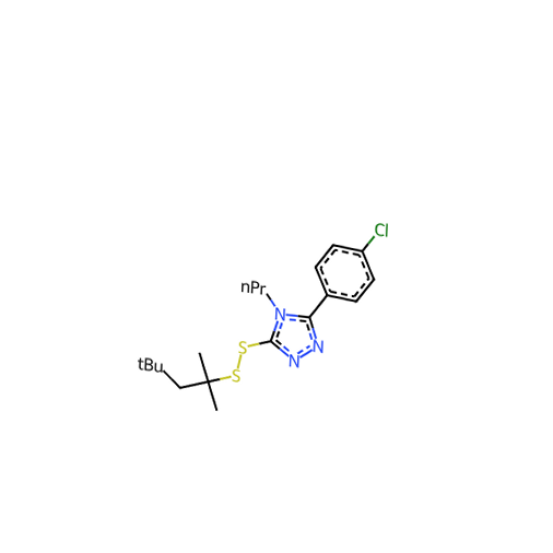 CCCn1c(SSC(C)(C)CC(C)(C)C)nnc1-c1ccc(Cl)cc1